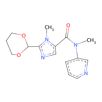 CN(C(=O)c1cnc(C2OCCCO2)n1C)c1cccnc1